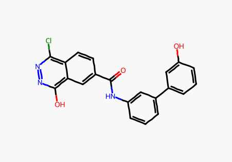 O=C(Nc1cccc(-c2cccc(O)c2)c1)c1ccc2c(Cl)nnc(O)c2c1